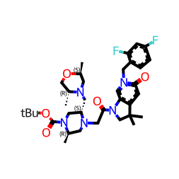 C[C@@H]1CO[C@@H](C)CN1C[C@H]1CN(C(=O)OC(C)(C)C)[C@H](C)CN1CC(=O)N1CC(C)(C)c2cc(=O)n(Cc3ccc(F)cc3F)cc21